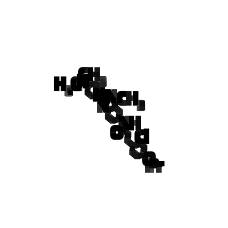 Cc1nc(N2CCC(N(C)C)CC2)nc2ccc(NC(=O)C=Cc3ccc(OC(C)C)cc3Cl)cc12